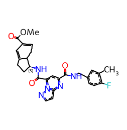 COC(=O)C1=CCC2C(=C1)CC[C@@H]2NC(=O)c1cc(C(=O)NCc2ccc(F)c(C)c2)nc2ccnn12